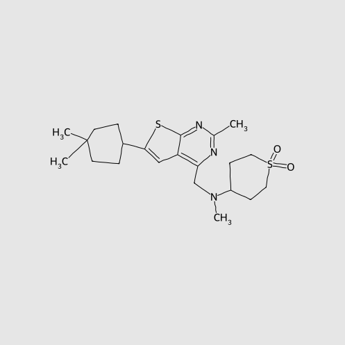 Cc1nc(CN(C)C2CCS(=O)(=O)CC2)c2cc(C3CCC(C)(C)CC3)sc2n1